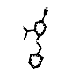 N#Cc1ccc(SCc2ccccc2)c(C(F)F)c1